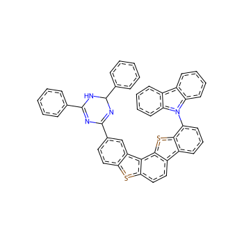 c1ccc(C2=NC(c3ccc4sc5ccc6c7cccc(-n8c9ccccc9c9ccccc98)c7sc6c5c4c3)=NC(c3ccccc3)N2)cc1